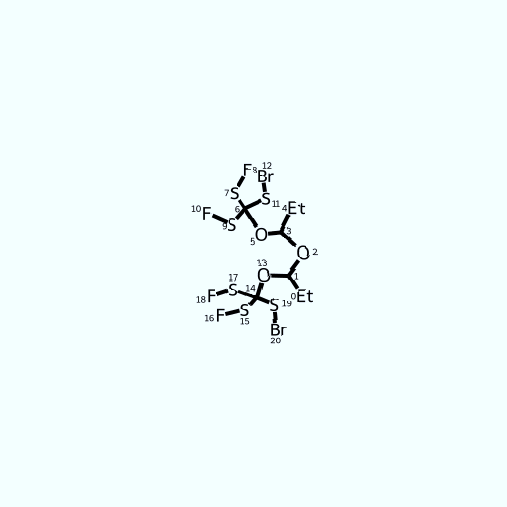 CCC(OC(CC)OC(SF)(SF)SBr)OC(SF)(SF)SBr